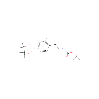 CC(C)(C)OC(=O)NCCc1ccc(B2OC(C)(C)C(C)(C)O2)cc1Cl